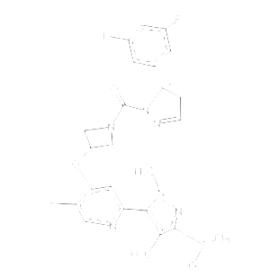 Cc1c([S+](C)[O-])nn(C)c1-c1cc(OC2CN(C(=O)N3N=CC[C@H]3c3cc(F)cc(F)c3)C2)c(F)cn1